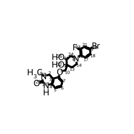 CN1Cc2c(cccc2OC[C@]2(O)CCN(c3ccc(Br)cc3F)C[C@H]2O)NC1=O